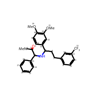 CNC(=O)C(NC(CCc1cccc(C(F)(F)F)c1)c1ccc(OC)c(OC)c1)c1ccccc1